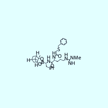 CNC(=N)NCCC[C@H](NC(=O)CSCc1ccccc1)C(=O)N[C@@H](CC(C)C)B1O[C@@H]2C[C@@H]3C[C@@H](C3(C)C)[C@]2(C)O1